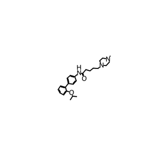 CC(C)Oc1ccccc1-c1ccc(NC(=O)CCCCN2CCN(C)CC2)cc1